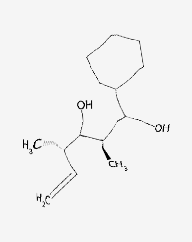 C=C[C@H](C)C(O)[C@H](C)C(O)C1CCCCC1